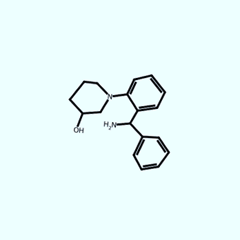 NC(c1ccccc1)c1ccccc1N1CCCC(O)C1